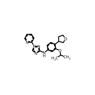 CC(C)Oc1cc(Nc2ncn(-c3ccccn3)n2)ccc1C1CCOC1